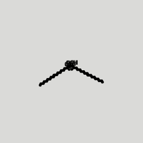 CCCCCCCCC=CCCCCCCCC(=O)C(C(=O)O)(C(=O)CCCCCCCC=CCCCCCCCC)N(C)C